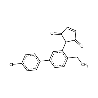 CCc1ccc(-c2ccc(Cl)cc2)cc1C1C(=O)C=CC1=O